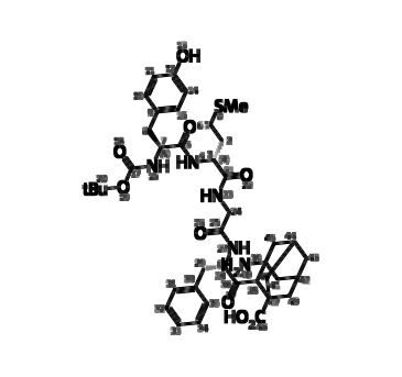 CSCC[C@@H](NC(=O)[C@H](Cc1ccc(O)cc1)NC(=O)OC(C)(C)C)C(=O)NCC(=O)N[C@@H](Cc1ccccc1)C(=O)C1C2(N)CC3CC(C2)CC1(C(=O)O)C3